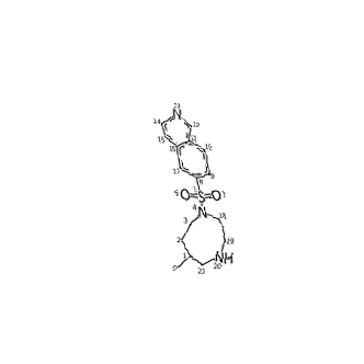 CC1CCN(S(=O)(=O)c2ccc3cnccc3c2)CCNC1